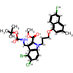 COC(=O)c1c(CNC(=O)OC(C)(C)C)c2c(Br)c(Cl)ccc2n1CCCOc1cc(C)cc2cc(F)ccc12